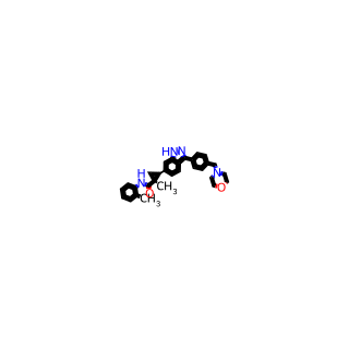 Cc1ccccc1NC(=O)[C@]1(C)C[C@H]1c1ccc2c(-c3ccc(CN4CCOCC4)cc3)n[nH]c2c1